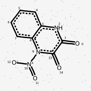 O=c1[nH]c2ccccc2n([N+](=O)[O-])c1=O